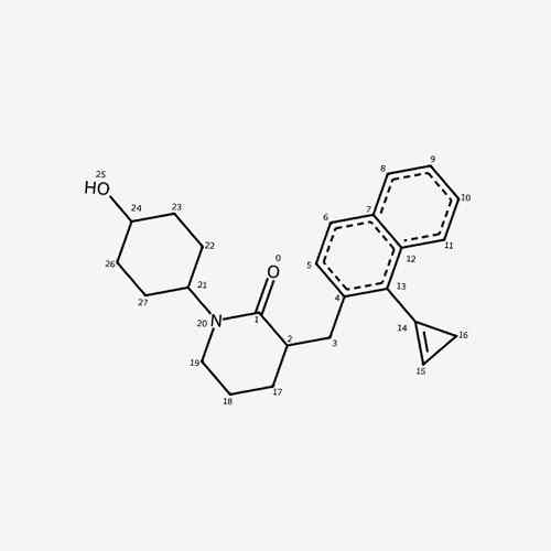 O=C1C(Cc2ccc3ccccc3c2C2=CC2)CCCN1C1CCC(O)CC1